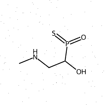 CNCC(O)P(=O)=S